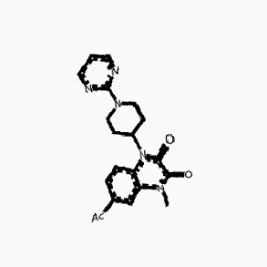 CC(=O)c1ccc2c(c1)n(C)c(=O)c(=O)n2C1CCN(c2ncccn2)CC1